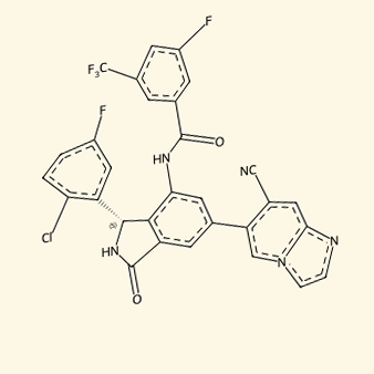 N#Cc1cc2nccn2cc1-c1cc(NC(=O)c2cc(F)cc(C(F)(F)F)c2)c2c(c1)C(=O)N[C@@H]2c1cc(F)ccc1Cl